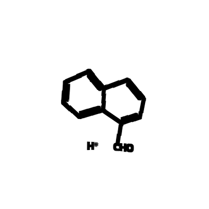 O=Cc1cccc2ccccc12.[H+]